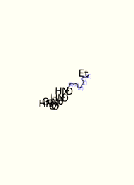 CC/C=C\C/C=C\C/C=C\C/C=C\C/C=C\C/C=C\CCC(=O)NCCC(=O)Nc1cccc2c1CN(C1CCC(=O)NC1=O)C2=O